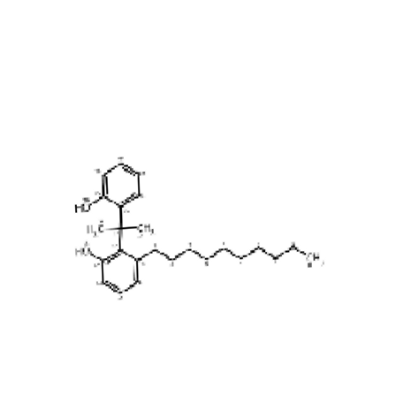 CCCCCCCCCCc1cccc(O)c1C(C)(C)c1ccccc1O